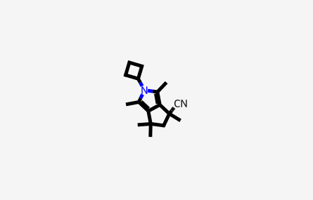 Cc1c2c(c(C)n1C1CCC1)C(C)(C#N)CC2(C)C